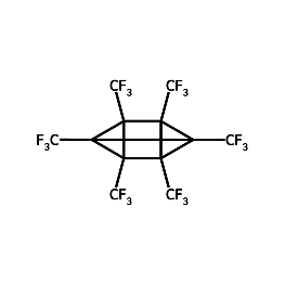 FC(F)(F)C12C3(C(F)(F)F)C1(C(F)(F)F)C1(C(F)(F)F)C2(C(F)(F)F)C31C(F)(F)F